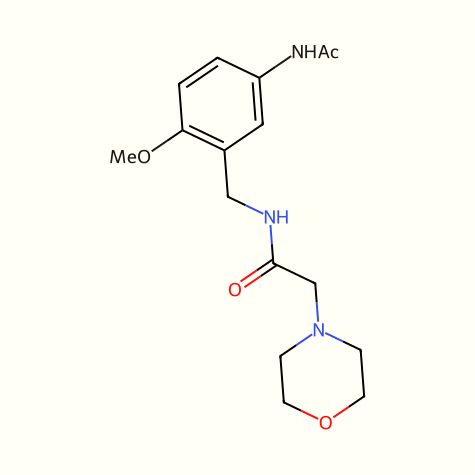 COc1ccc(NC(C)=O)cc1CNC(=O)CN1CCOCC1